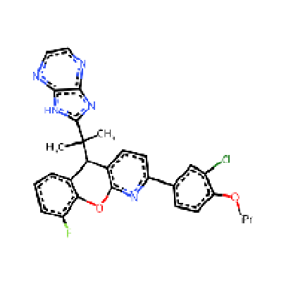 CC(C)Oc1ccc(-c2ccc3c(n2)Oc2c(F)cccc2C3C(C)(C)c2nc3nccnc3[nH]2)cc1Cl